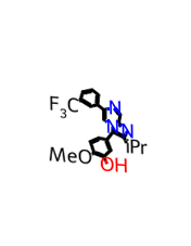 COc1ccc(-c2c(C(C)C)nc3cnc(-c4cccc(C(F)(F)F)c4)cn23)cc1O